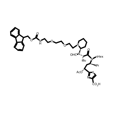 CCCCCCN(C(=O)[C@H]([C@@H](C)CC)N(C=O)[C@@H]1CCCCN1CCOCCOCCNC(=O)OCC1c2ccccc2-c2ccccc21)[C@H](C[C@@H](OC(C)=O)c1nc(C(=O)O)cs1)C(C)C